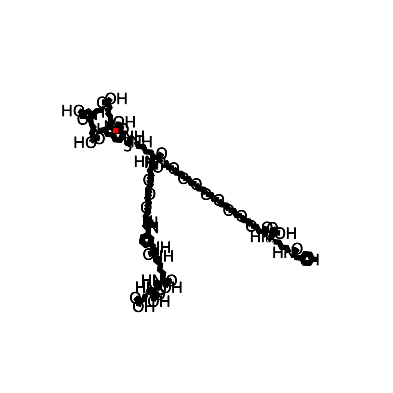 O=C(O)CC[C@H](NC(=O)NC(CCCCNC(=O)Nc1cccc(-c2cn(CCOCCOCCOCCC(=O)NC(CCCCNC(=S)Nc3ccc(CC4CN(CC(=O)O)CCN(CC(=O)O)CCN(CC(=O)O)CCN4CC(=O)O)cc3)C(=O)NCCOCCOCCOCCOCCOCCOCCOCCOCCC(=O)N[C@@H](CCCCNC(=O)Cc3ccc(I)cc3)C(=O)O)nn2)c1)C(=O)O)C(=O)O